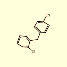 N#Cc1ccc(Cc2ccccc2Cl)cc1